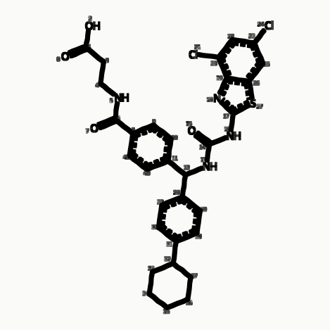 O=C(O)CCNC(=O)c1ccc(C(NC(=O)Nc2nc3c(Cl)cc(Cl)cc3s2)c2ccc(C3CCCCC3)cc2)cc1